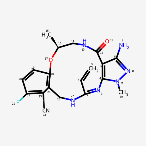 C=C/C1=N\c2c(c(N)nn2C)C(=O)NC[C@H](C)Oc2ccc(F)c(C#N)c2CN1